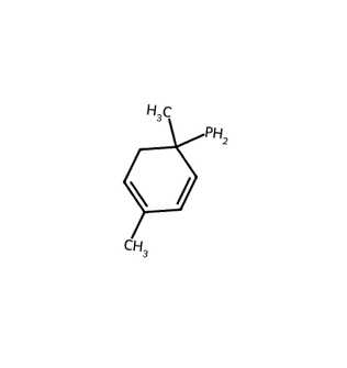 CC1=CCC(C)(P)C=C1